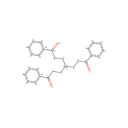 O=C(C[CH2][Ge]([CH2]CC(=O)c1ccccc1)[CH2]CC(=O)c1ccccc1)c1ccccc1